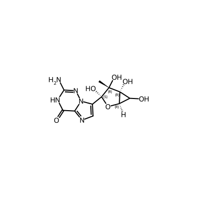 C[C@]1(O)[C@](O)(c2cnc3c(=O)[nH]c(N)nn23)O[C@@H]2C(O)[C@@]21O